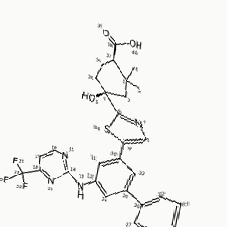 CC1(C)C[C@](O)(c2ncc(-c3cc(Nc4nccc(C(F)(F)F)n4)cc(-c4ccc(F)cc4)c3)s2)CC[C@H]1C(=O)O